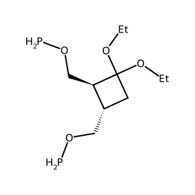 CCOC1(OCC)C[C@H](COP)[C@H]1COP